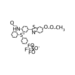 CCOCOc1ccc2nc(-c3ccc(NCC=O)c([S+](c4ccccc4)c4ccccc4)c3)sc2c1.O=S(=O)([O-])C(F)(F)F